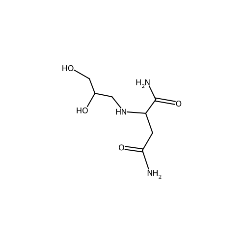 NC(=O)CC(NCC(O)CO)C(N)=O